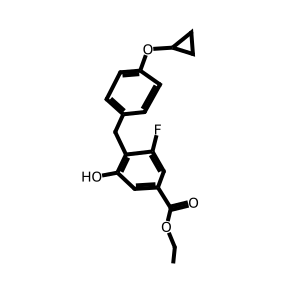 CCOC(=O)c1cc(O)c(Cc2ccc(OC3CC3)cc2)c(F)c1